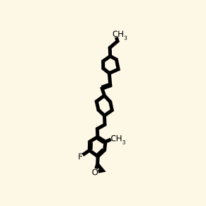 CCCC1CCC(/C=C/C2CCC(CCc3cc(F)c(C4CO4)cc3C)CC2)CC1